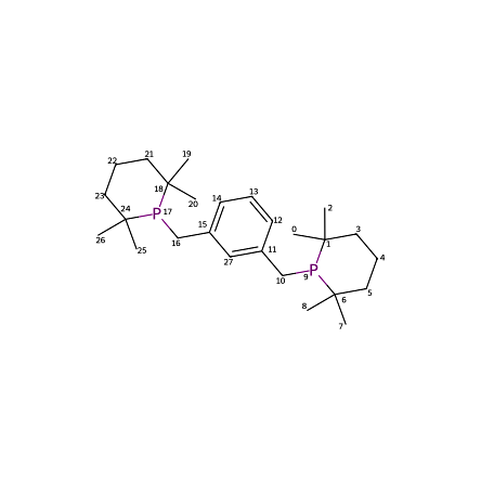 CC1(C)CCCC(C)(C)P1Cc1cccc(CP2C(C)(C)CCCC2(C)C)c1